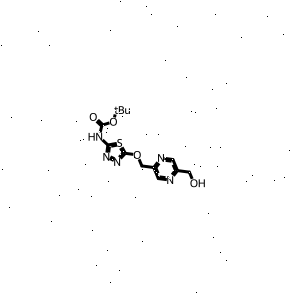 CC(C)(C)OC(=O)Nc1nnc(OCc2cnc(CO)cn2)s1